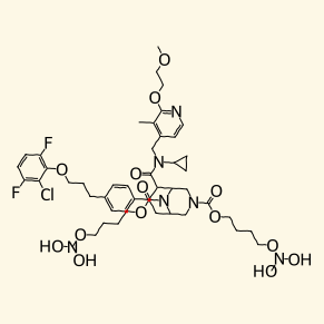 COCCOc1nccc(CN(C(=O)C2C(c3ccc(CCCOc4c(F)ccc(F)c4Cl)cc3)CC3CN(C(=O)OCCCCON(O)O)CC2N3C(=O)OCCCCON(O)O)C2CC2)c1C